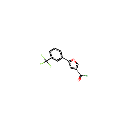 O=C(Cl)c1coc(-c2cccc(C(F)(F)F)c2)c1